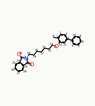 Cc1ccc(-c2ccccc2)cc1OCCCCCCCN1C(=O)c2ccccc2C1=O